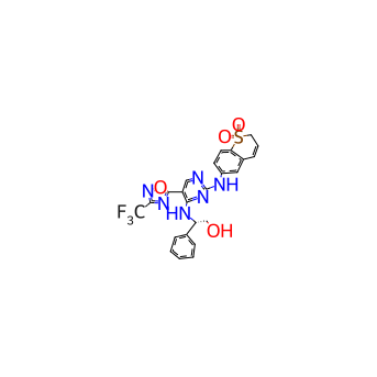 O=S1(=O)CC=Cc2cc(Nc3ncc(-c4nc(C(F)(F)F)no4)c(N[C@H](CO)c4ccccc4)n3)ccc21